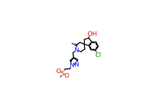 C[C@H]1CC2(CCN1Cc1cnn(CCS(C)(=O)=O)c1)CC(O)c1ccc(Cl)cc12